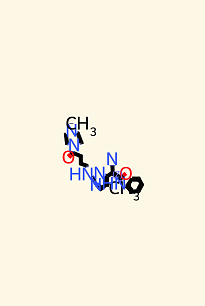 Cc1cnc(NCCCC(=O)N2CCN(C)CC2)nc1/C(C#N)=C1\Nc2ccccc2O1